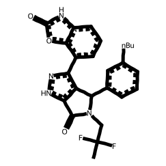 CCCCc1cccc(C2c3c(-c4cccc5[nH]c(=O)oc45)n[nH]c3C(=O)N2CC(C)(F)F)c1